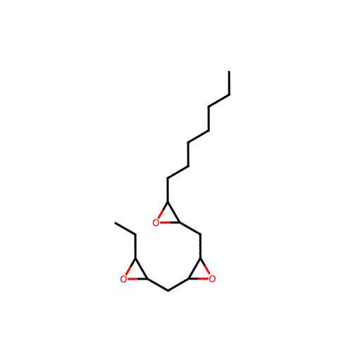 CCCCCCCC1OC1CC1OC1CC1OC1CC